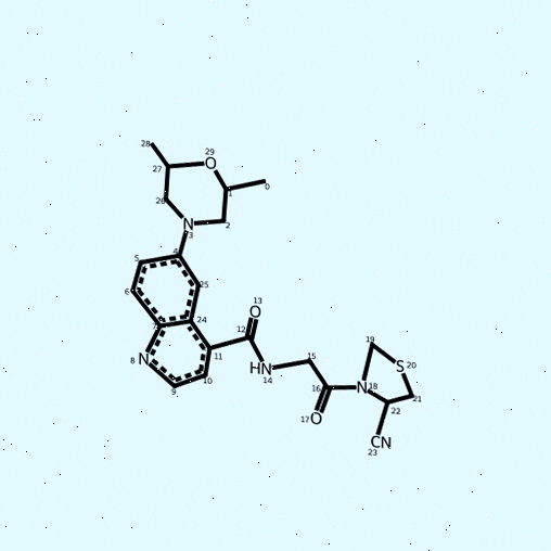 CC1CN(c2ccc3nccc(C(=O)NCC(=O)N4CSCC4C#N)c3c2)CC(C)O1